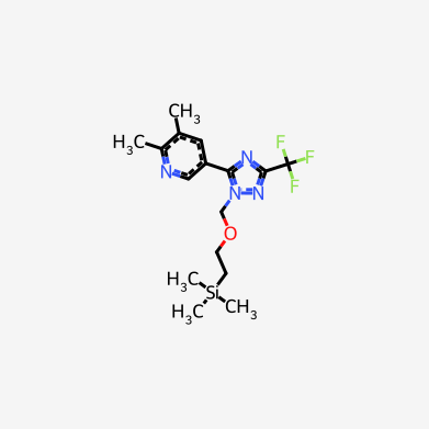 Cc1cc(-c2nc(C(F)(F)F)nn2COCC[Si](C)(C)C)cnc1C